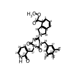 COC(=O)c1cccc2c1CN(c1nc(=O)n(Cc3ccc[nH]c3=O)c(=O)n1Cc1cc(F)c(F)c(F)c1)C2